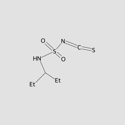 CCC(CC)NS(=O)(=O)N=C=S